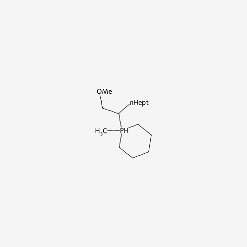 CCCCCCCC(COC)[PH]1(C)CCCCC1